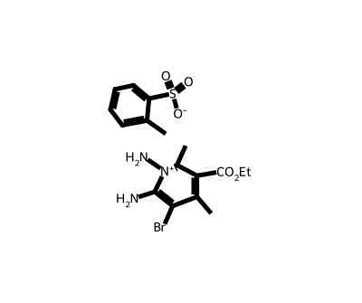 CCOC(=O)c1c(C)c(Br)c(N)[n+](N)c1C.Cc1ccccc1S(=O)(=O)[O-]